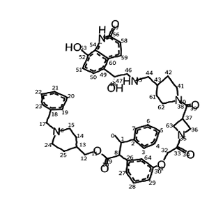 CC(c1ccccc1)C(C(=O)OCC1CCN(Cc2ccccc2)CC1)c1cccc(OCC(=O)N2CC(C(=O)N3CCC(CNC[C@H](O)c4ccc(O)c5[nH]c(=O)ccc45)CC3)C2)c1